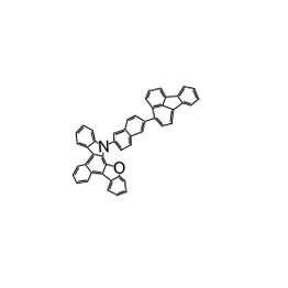 c1ccc2c(c1)-c1cccc3c(-c4ccc5cc(-n6c7ccccc7c7c8ccccc8c8c9ccccc9oc8c76)ccc5c4)ccc-2c13